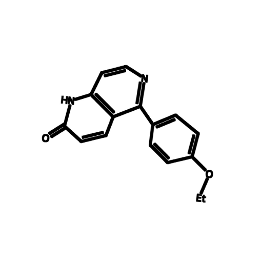 CCOc1ccc(-c2nccc3[nH]c(=O)ccc23)cc1